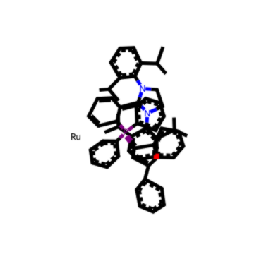 CC(C)c1cccc(C(C)C)c1N1CCN(c2c(C(C)C)cccc2C(C)C)C1=C1C=CC=CC1P(=C1C=C(c2ccccc2)c2ccccc21)(c1ccccc1)c1ccccc1.[Ru]